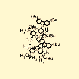 Cc1cc(C2=CC(C(C)(C)CC(C)(C)C)=CC(n3c4ccc(C(C)(C)C)cc4c4cc(C(C)(C)C)ccc43)C2(O)OCCCOc2c(C)cc(N(C)C)cc2-c2cc(C(C)(C)CC(C)(C)C)cc(-n3c4ccc(C(C)(C)C)cc4c4cc(C(C)(C)C)ccc43)c2O)cc(N(C)C)c1